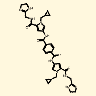 O=C(Nc1cc(C(=O)NCC2=NCCN2)n(CC2CC2)c1)c1ccc(C(=O)Nc2cc(C(=O)NCC3=NCCN3)n(CC3CC3)c2)cc1